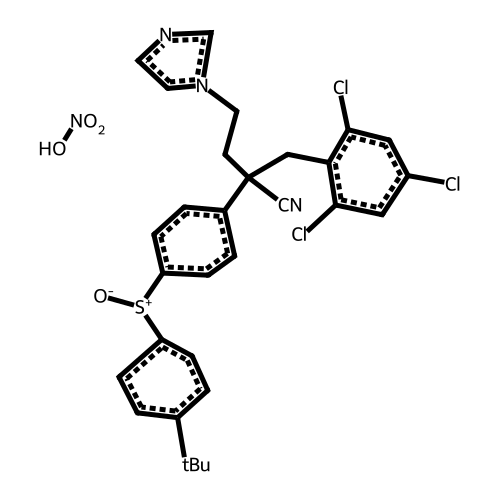 CC(C)(C)c1ccc([S+]([O-])c2ccc(C(C#N)(CCn3ccnc3)Cc3c(Cl)cc(Cl)cc3Cl)cc2)cc1.O=[N+]([O-])O